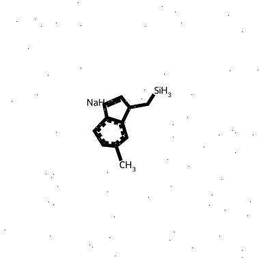 Cc1ccc2c(c1)C(C[SiH3])C=C2.[NaH]